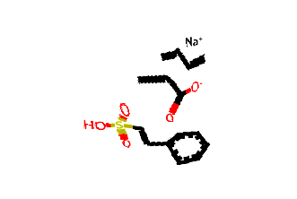 C=CC(=O)[O-].C=CC=C.O=S(=O)(O)C=Cc1ccccc1.[Na+]